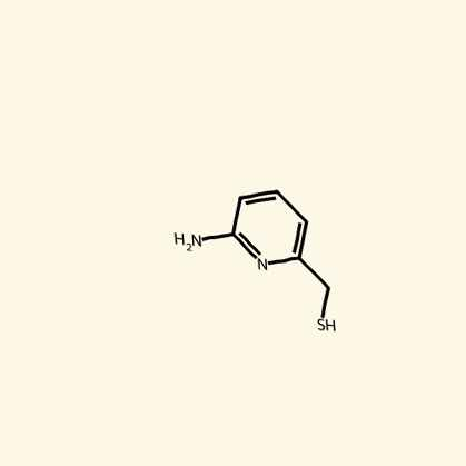 Nc1cccc(CS)n1